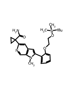 Cn1c(-c2ccccc2OCCO[Si](C)(C)C(C)(C)C)cc2cc(C3(C(N)=O)CC3)ncc21